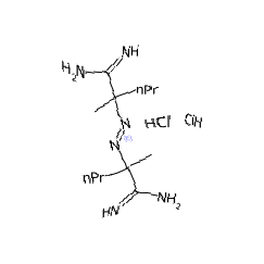 CCCC(C)(/N=N/C(C)(CCC)C(=N)N)C(=N)N.Cl.Cl